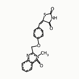 Cn1c(COc2ccc(C=C3SC(=O)NC3=O)cc2)nc2ccccc2c1=O